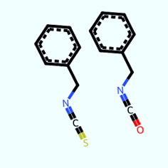 O=C=NCc1ccccc1.S=C=NCc1ccccc1